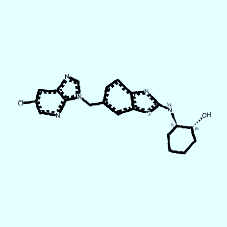 O[C@@H]1CCCC[C@H]1Nc1nc2ccc(Cn3cnc4cc(Cl)cnc43)cc2s1